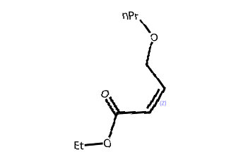 CCCOC/C=C\C(=O)OCC